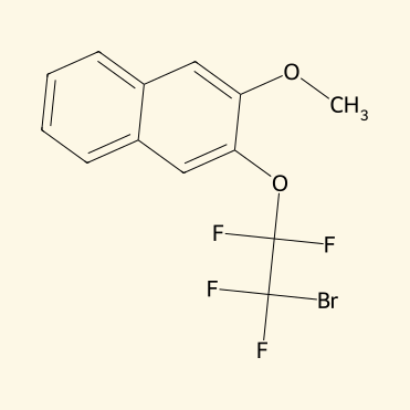 COc1cc2ccccc2cc1OC(F)(F)C(F)(F)Br